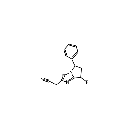 N#CCc1nc2n(n1)C(c1ccccc1)CC2F